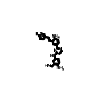 N=Cc1cc(Nc2ccnc(-c3ccc(N)c(/C=C/C(/C=C\N)=C/N)c3)n2)ccc1N